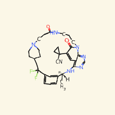 C[C@H]1Nc2ncnc3c2cc(C2(C#N)CC2)c(=O)n3CCCNC(=O)CCN2CCC(CC2)C(F)(F)c2cccc1c2